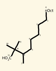 CCCCCCCCCCCCCC(C)C(C)(C)C(=O)O